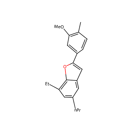 CCCc1cc(CC)c2oc(-c3ccc(C)c(OC)c3)cc2c1